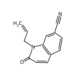 C=CCn1c(=O)ccc2ccc(C#N)cc21